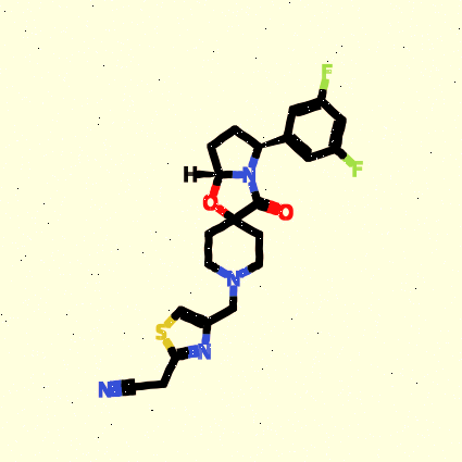 N#CCc1nc(CN2CCC3(CC2)O[C@@H]2CC[C@@H](c4cc(F)cc(F)c4)N2C3=O)cs1